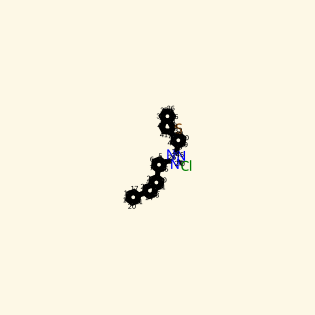 Clc1nc(-c2cccc(-c3ccc4ccc(-c5ccccc5)cc4c3)c2)nc(-c2ccc3sc4c5ccccc5ccc4c3c2)n1